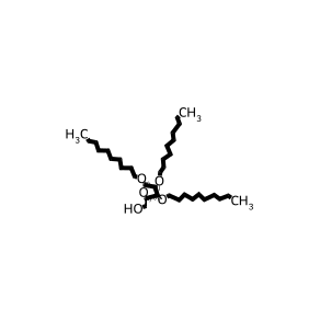 CCCCCCCCCCO[C@@H]1O[C@H](CO)[C@@H](OCCCCCCCCCC)[C@H]1OCCCCCCCCCC